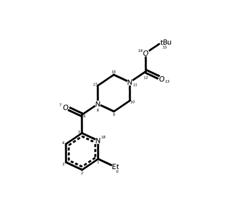 CCc1cccc(C(=O)N2CCN(C(=O)OC(C)(C)C)CC2)n1